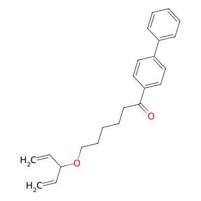 C=CC(C=C)OCCCCCC(=O)c1ccc(-c2ccccc2)cc1